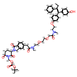 CC/C(=C(\c1ccc(O)cc1)c1ccc(OCCN(C)C(=O)COCCOCCN(C)C(=O)Cc2ccc3c(c2)CN(C2CCC(=O)N(COC(=O)OC(C)(C)C)C2=O)C3=O)cc1)c1ccccc1